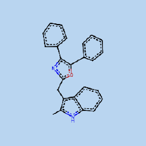 Cc1[nH]c2ccccc2c1Cc1nc(-c2ccccc2)c(-c2ccccc2)o1